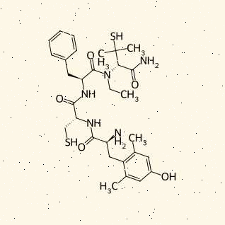 CCN(C(=O)[C@H](Cc1ccccc1)NC(=O)[C@@H](CS)NC(=O)[C@@H](N)Cc1c(C)cc(O)cc1C)[C@@H](C(N)=O)C(C)(C)S